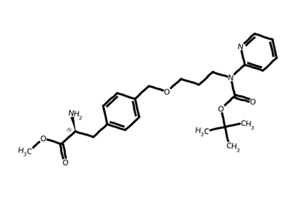 COC(=O)[C@@H](N)Cc1ccc(COCCCN(C(=O)OC(C)(C)C)c2ccccn2)cc1